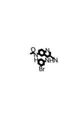 CC(=O)Nc1ccc2ncc(C#N)c(Nc3cccc(Br)c3)c2c1